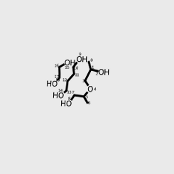 CC(O)COC(C)CO.OCCCCO.OCCO